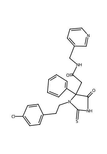 O=C(CC1(c2ccccc2)C(=O)NC(=S)N1CCc1ccc(Cl)cc1)NCc1cccnc1